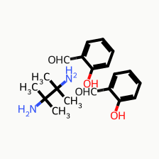 CC(C)(N)C(C)(C)N.O=Cc1ccccc1O.O=Cc1ccccc1O